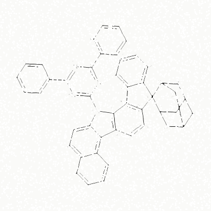 c1ccc(-c2nc(-c3ccccc3)nc(-n3c4ccc5ccccc5c4c4ccc5c(c43)-c3ccccc3C53C4CC5CC(C4)CC3C5)n2)cc1